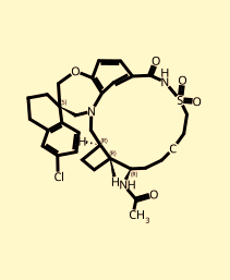 CC(=O)N[C@@H]1CCCCCS(=O)(=O)NC(=O)c2ccc3c(c2)N(C[C@@H]2CC[C@H]21)C[C@@]1(CCCc2cc(Cl)ccc21)CO3